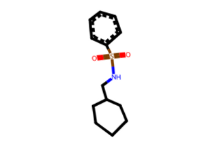 O=S(=O)(NCC1CCCCC1)c1ccccc1